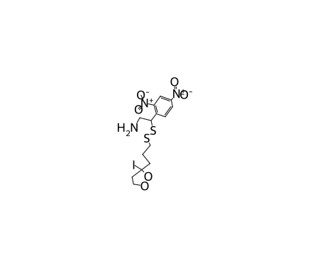 NCC(SSCCCC1(I)CCOO1)c1ccc([N+](=O)[O-])cc1[N+](=O)[O-]